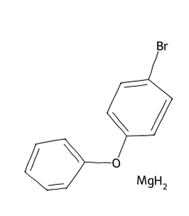 Brc1ccc(Oc2ccccc2)cc1.[MgH2]